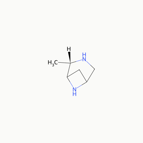 C[C@@H]1NCC2CC1N2